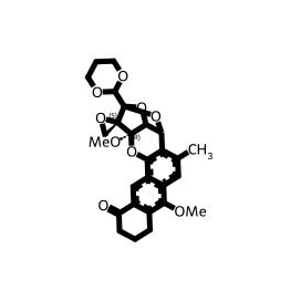 COc1c2c(cc3c4c(c(C)cc13)C1OC3(C5OCCCO5)OC1[C@@](OC)(O4)[C@@]31CO1)C(=O)CCC2